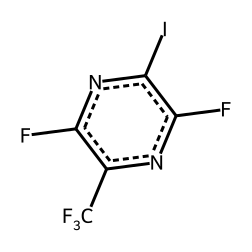 Fc1nc(C(F)(F)F)c(F)nc1I